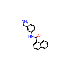 NCc1cccc(NC(=O)c2cccc3ccccc23)c1